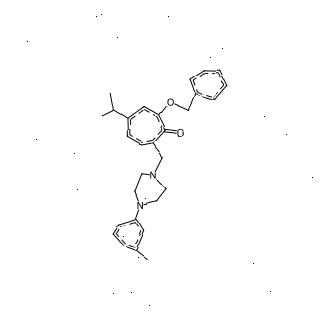 Cc1cccc(N2CCN(Cc3ccc(C(C)C)cc(OCc4ccccc4)c3=O)CC2)c1